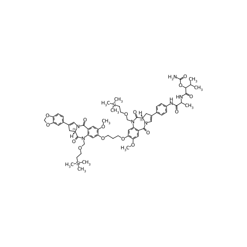 COc1cc2c(cc1OCCCOc1cc3c(cc1OC)C(=O)N1C=C(c4ccc5c(c4)OCO5)C[C@H]1C(=O)N3COCC[Si](C)(C)C)N(COCC[Si](C)(C)C)C(=O)[C@@H]1CC(c3ccc(NC(=O)C(C)NC(=O)C(OC(N)=O)C(C)C)cc3)=CN1C2=O